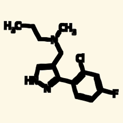 CCCN(C)Cc1c[nH]nc1-c1ccc(F)cc1Cl